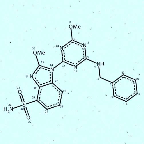 COc1nc(NCc2ccccc2)nc(-n2c(OC)nc3c(S(N)(=O)=O)cccc32)n1